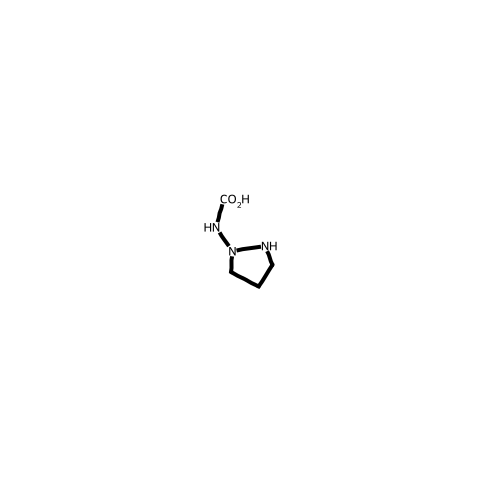 O=C(O)NN1CCCN1